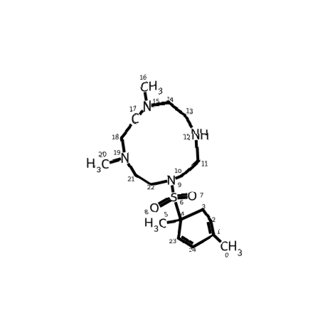 CC1=CCC(C)(S(=O)(=O)N2CCNCCN(C)CCN(C)CC2)C=C1